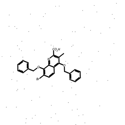 Cc1c(C(=O)O)nc2c(OCc3ccccc3)c(Br)ccc2c1OCc1ccccc1